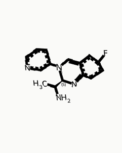 CC(N)[C@@H]1N=c2ccc(F)cc2=CN1c1cccnc1